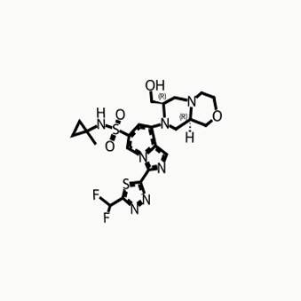 CC1(NS(=O)(=O)c2cc(N3C[C@@H]4COCCN4C[C@@H]3CO)c3cnc(-c4nnc(C(F)F)s4)n3c2)CC1